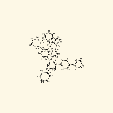 c1cncc(-c2ccc(-c3cc(-c4ccc5c(c4)C4(c6ccccc6-c6ccccc6-5)c5ccccc5-c5ccccc54)nc(-c4ccncc4)n3)cc2)c1